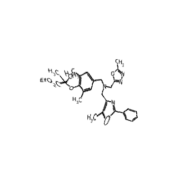 CCOC(=O)C(C)(C)Oc1c(C)cc(CN(Cc2nnc(C)o2)Cc2nc(-c3ccccc3)oc2C)cc1C